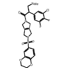 CNCC(C(=O)N1CC2=C(C1)CN(S(=O)(=O)c1ccc3c(c1)OCCO3)C2)c1cc(F)c(F)c(Cl)c1